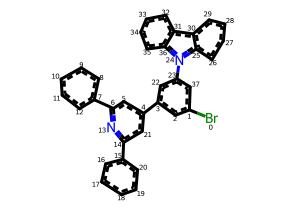 Brc1cc(-c2cc(-c3ccccc3)nc(-c3ccccc3)c2)cc(-n2c3ccccc3c3ccccc32)c1